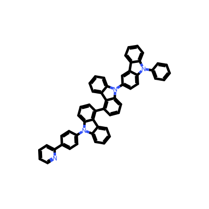 c1ccc(-n2c3ccccc3c3cc(-n4c5ccccc5c5c(-c6cccc7c6c6ccccc6n7-c6ccc(-c7ccccn7)cc6)cccc54)ccc32)cc1